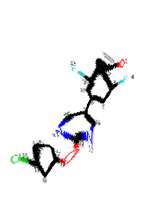 O=Cc1c(F)cc(-c2cnc(OC3CC(Cl)C3)nc2)cc1F